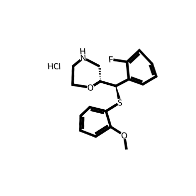 COc1ccccc1S[C@H](c1ccccc1F)[C@H]1CNCCO1.Cl